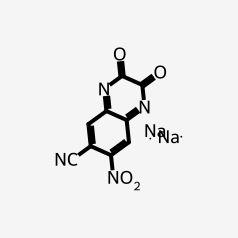 N#Cc1cc2c(cc1[N+](=O)[O-])=NC(=O)C(=O)N=2.[Na].[Na]